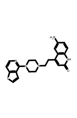 Nc1ccc2[nH]c(=O)cc(CCN3CCN(c4nccc5sccc45)CC3)c2c1